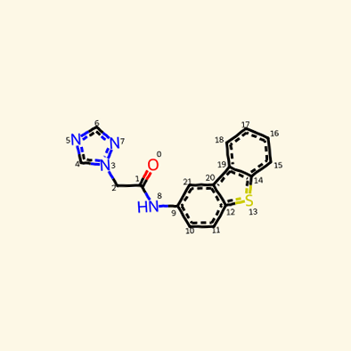 O=C(Cn1cncn1)Nc1ccc2sc3ccccc3c2c1